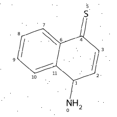 NC1C=CC(=S)c2ccccc21